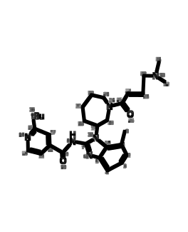 Cc1cccc2nc(NC(=O)c3ccnc(C(C)(C)C)c3)n(C3CCCCN(C(=O)C=CCN(C)C)C3)c12